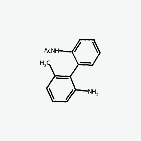 CC(=O)Nc1ccccc1-c1c(C)cccc1N